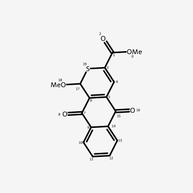 COC(=O)C1=CC2=C(C(=O)c3ccccc3C2=O)C(OC)S1